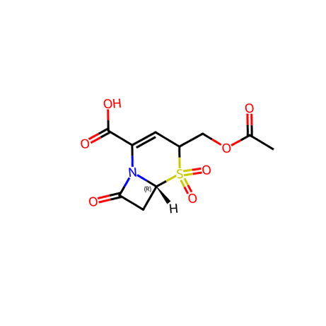 CC(=O)OCC1C=C(C(=O)O)N2C(=O)C[C@H]2S1(=O)=O